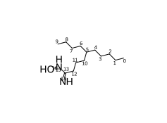 CCCCCC(CCCC)CCCC(=N)NO